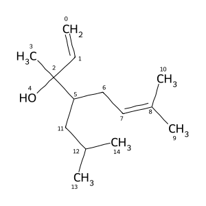 C=CC(C)(O)C(CC=C(C)C)CC(C)C